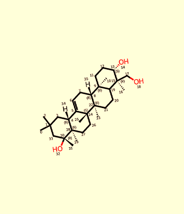 CC1(C)C[C@@H]2C3=CC[C@@H]4[C@@]5(C)CC[C@H](O)[C@@](C)(CO)C5CC[C@@]4(C)[C@]3(C)CC[C@@]2(C)[C@](C)(O)C1